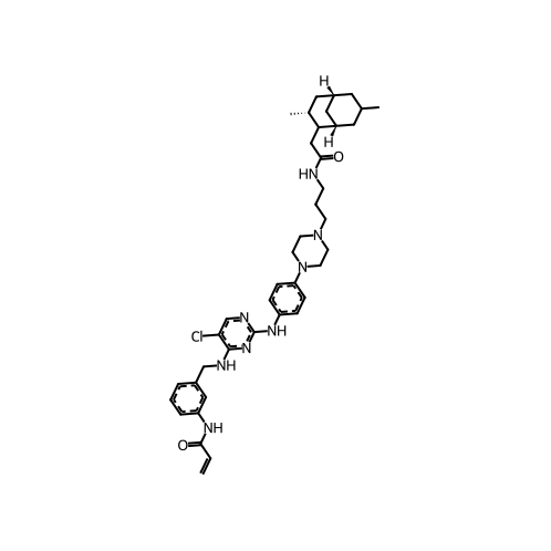 C=CC(=O)Nc1cccc(CNc2nc(Nc3ccc(N4CCN(CCCNC(=O)CC5[C@H]6CC(C)C[C@H](C6)C[C@H]5C)CC4)cc3)ncc2Cl)c1